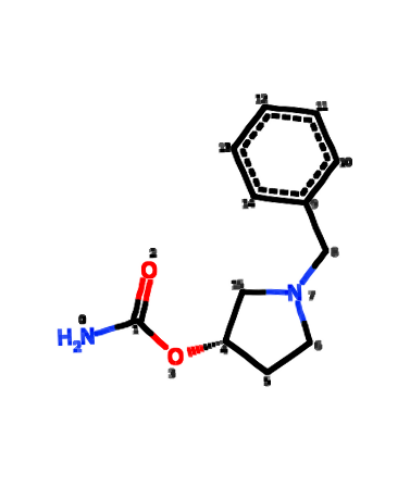 NC(=O)O[C@H]1CCN(Cc2ccccc2)C1